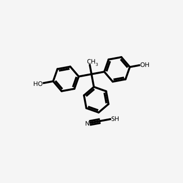 CC(c1ccccc1)(c1ccc(O)cc1)c1ccc(O)cc1.N#CS